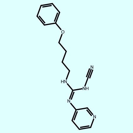 N#CNC(=Nc1cccnc1)NCCCCOc1ccccc1